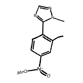 CO[N+](=O)c1ccc(-c2ncnn2C)c(C)c1